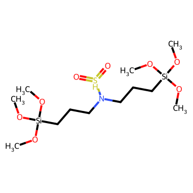 CO[Si](CCCN(CCC[Si](OC)(OC)OC)[SH](=O)=O)(OC)OC